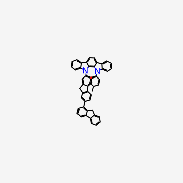 CC1C=CC(n2c3ccccc3c3ccc4c5ccccc5n(-c5ccc6c(c5)Cc5cc(-c7cccc8c7Cc7ccccc7-8)ccc5-6)c4c32)=CC1